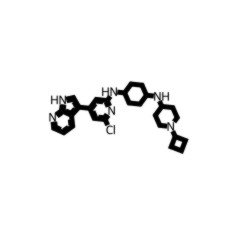 Clc1cc(-c2c[nH]c3ncccc23)cc(NC2CCC(NC3CCN(C4CCC4)CC3)CC2)n1